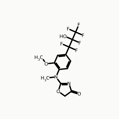 COc1cc(C(F)(F)C(O)(F)C(F)(F)F)ccc1N(C)C1=NC(=O)CO1